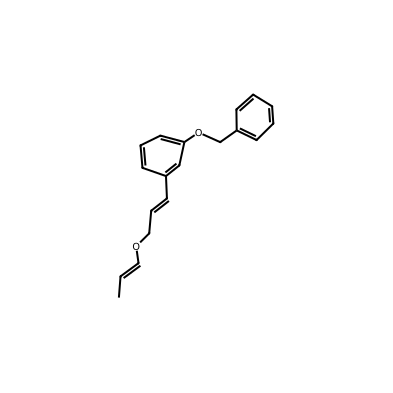 CC=COCC=Cc1cccc(OCc2ccccc2)c1